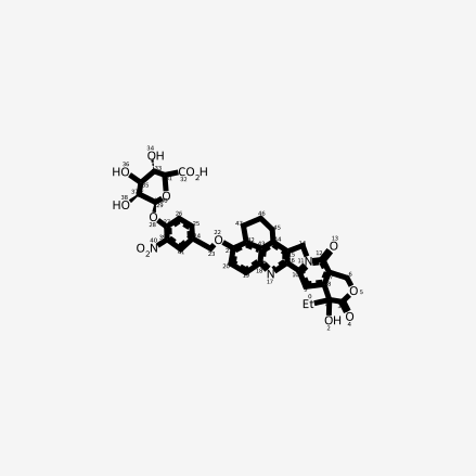 CCC1(O)C(=O)OCc2c1cc1n(c2=O)Cc2c-1nc1ccc(OCc3ccc(O[C@@H]4OC(C(=O)O)[C@@H](O)C(O)[C@@H]4O)c([N+](=O)[O-])c3)c3c1c2CCC3